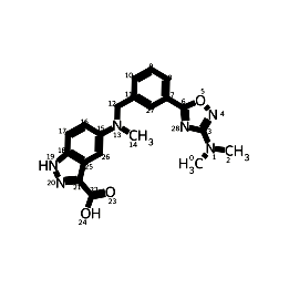 CN(C)c1noc(-c2cccc(CN(C)c3ccc4[nH]nc(C(=O)O)c4c3)c2)n1